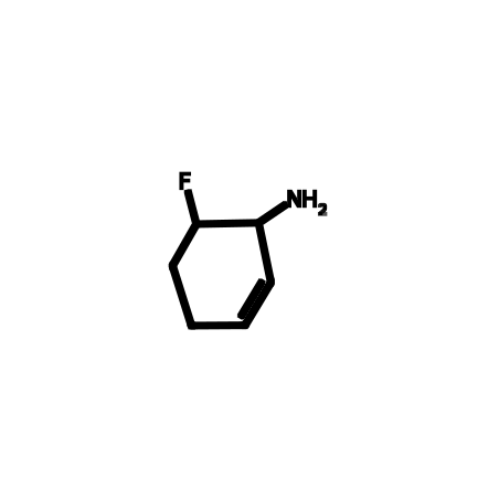 NC1C=CCCC1F